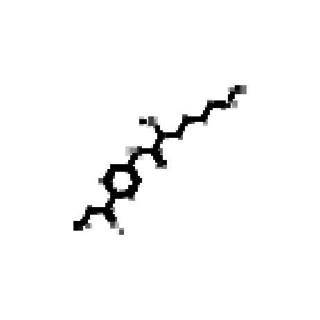 N[C@@H](CCCCNO)C(=O)Nc1ccc(C(=O)CBr)cc1